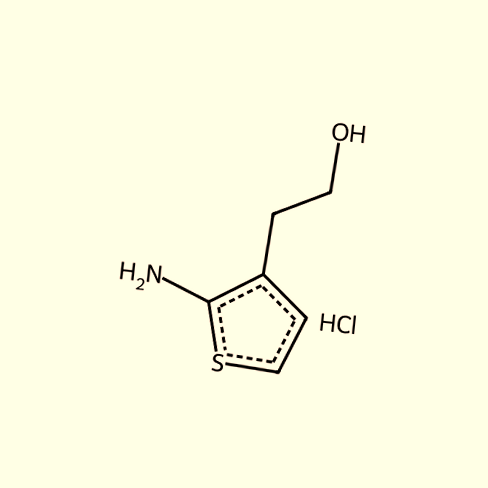 Cl.Nc1sccc1CCO